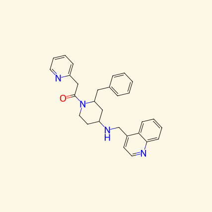 O=C(Cc1ccccn1)N1CCC(NCc2ccnc3ccccc23)CC1Cc1ccccc1